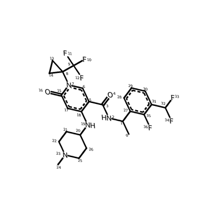 CC(NC(=O)c1cn(C2(C(F)(F)F)CC2)c(=O)cc1NC1CCN(C)CC1)c1cccc(C(F)F)c1F